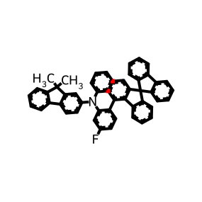 CC1(C)c2ccccc2-c2ccc(N(c3ccccc3)c3cc(F)ccc3-c3cccc4c3-c3ccccc3C43c4ccccc4-c4ccccc43)cc21